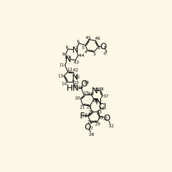 COc1ccc(CN2CCN(Cc3ccc(NC(=O)c4ccc(-c5c(F)c(OC)cc(OC)c5Cl)c5nccnc45)nc3)CC2)cc1